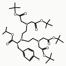 CC(C)OC(=O)[C@H](Cc1ccc(I)cc1)N(CCN(CC(=O)OC(C)(C)C)CC(=O)OC(C)(C)C)CCN(CC(=O)OC(C)(C)C)CC(=O)OC(C)(C)C